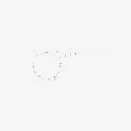 CCOCCOCCOCCNC(=O)O[C@@H]1CC[C@@H](C[C@@H](N)[C@@H]2C[C@@H](OC)[C@H](C)/C=C(\C)[C@@H](O)[C@@H](OC)C(=O)[C@H](C)C[C@H](C)/C=C/C=C/C=C(\C)[C@@H](OC)C[C@@H]3CC[C@@H](C)[C@@](O)(O3)C(=O)C(=O)N3CCCC[C@H]3C(=O)O2)C[C@H]1OC